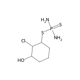 NP(N)(=S)SC1CCCC(O)C1Cl